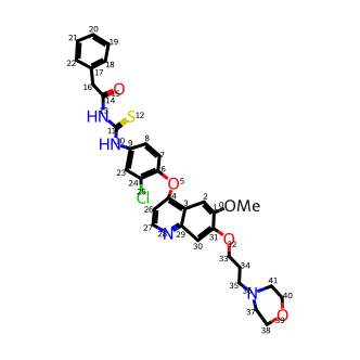 COc1cc2c(Oc3ccc(NC(=S)NC(=O)Cc4ccccc4)cc3Cl)ccnc2cc1OCCCN1CCOCC1